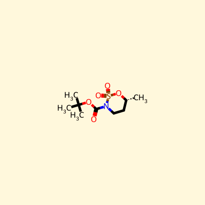 C[C@@H]1CCN(C(=O)OC(C)(C)C)S(=O)(=O)O1